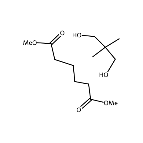 CC(C)(CO)CO.COC(=O)CCCCC(=O)OC